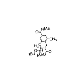 CNC(=O)c1cc(C)c(C[C@H](NC(=O)OC(C)(C)C)C(=O)OC)c(C)c1